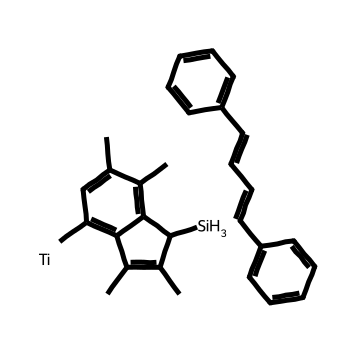 C(C=Cc1ccccc1)=Cc1ccccc1.CC1=C(C)C([SiH3])c2c(C)c(C)cc(C)c21.[Ti]